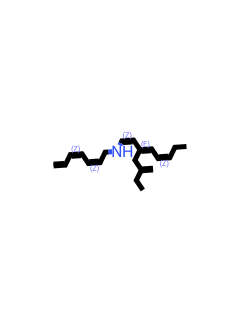 C=C/C=C\C=C/CN\C=C/C(=C/C=C\CC)CC(=C)CC